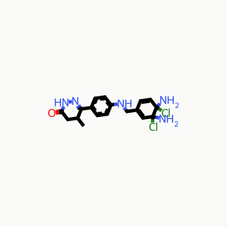 CC1CC(=O)NN=C1c1ccc(NCC2=CC(N)(Cl)C(N)(Cl)C=C2)cc1